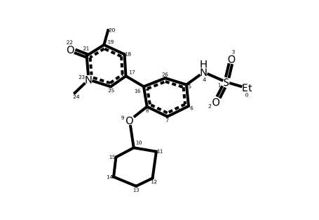 CCS(=O)(=O)Nc1ccc(OC2CCCCC2)c(-c2cc(C)c(=O)n(C)c2)c1